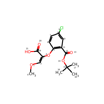 COC=C(Oc1ccc(Cl)cc1C(=O)OC(C)(C)C)C(=O)O